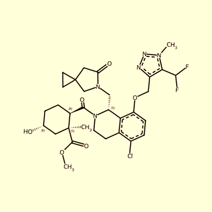 COC(=O)[C@@]1(C)C[C@H](O)CC[C@H]1C(=O)N1CCc2c(Cl)ccc(OCc3nnn(C)c3C(F)F)c2[C@H]1CN1CC2(CC2)CC1=O